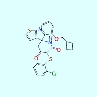 O=C1CC(c2ccsc2)(c2ncccc2OCC2CCC2)NC(=O)C1Sc1ccccc1Cl